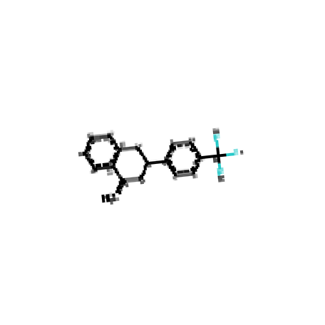 C=C1CC(c2ccc(C(F)(F)F)cc2)Cc2ccccc21